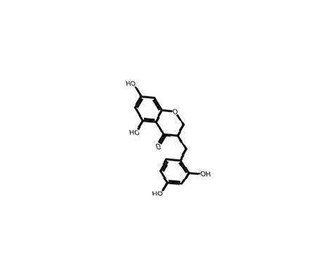 O=C1c2c(O)cc(O)cc2OCC1Cc1ccc(O)cc1O